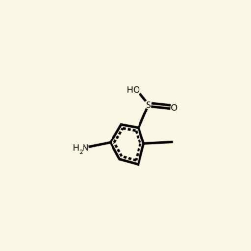 Cc1ccc(N)cc1S(=O)O